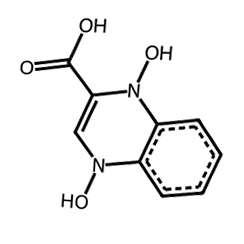 O=C(O)C1=CN(O)c2ccccc2N1O